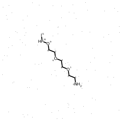 NCCOCCOCCOPI